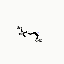 CC(C)(C)[Si](C)(C)OC/C=C\C=O